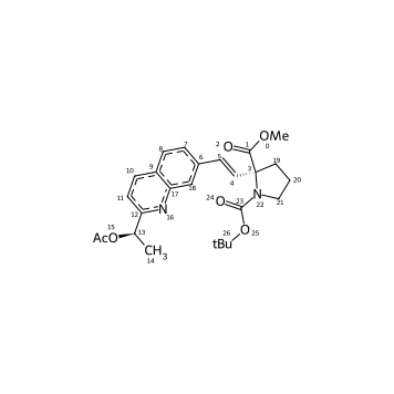 COC(=O)[C@@]1(C=Cc2ccc3ccc([C@@H](C)OC(C)=O)nc3c2)CCCN1C(=O)OC(C)(C)C